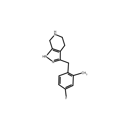 Cc1cc(F)ccc1Cc1n[nH]c2c1CCNC2